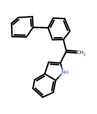 C=C(c1cccc(-c2ccccc2)c1)c1cc2ccccc2[nH]1